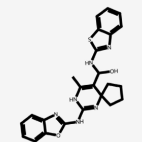 CC1=C(C(O)Nc2nc3ccccc3s2)C2(CCCC2)N=C(Nc2nc3ccccc3o2)N1